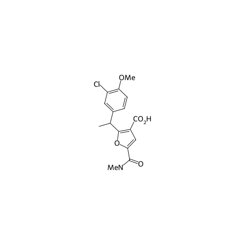 CNC(=O)c1cc(C(=O)O)c(C(C)c2ccc(OC)c(Cl)c2)o1